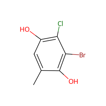 Cc1cc(O)c(Cl)c(Br)c1O